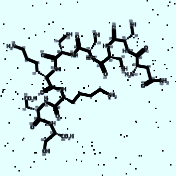 NCCCC[C@H](NC(=O)[C@H](CCCCN)NC(=O)[C@H](CS)NC(=O)[C@H](CS)NC(=O)[C@H](CS)NC(=O)[C@H](CS)NC(=O)[C@@H](N)CC(N)=O)C(=O)N[C@@H](CC(=O)O)C(=O)N[C@@H](CO)C(=O)O